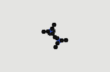 CC1(C)c2cc(-c3ccccc3)ccc2N2c3ccc(-c4ccccc4)cc3C(C)(C)c3cc(-c4ccc5cc(N(c6ccc(-c7ccccc7)cc6)c6ccc(-c7ccccc7)cc6)ccc5c4)cc1c32